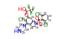 O=C(O)C(F)(F)F.O=S(=O)(c1c(Cl)cccc1Cl)n1ccc2c(N3CCNCC3)c(Cl)ccc21